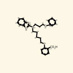 O=C(O)c1ccccc1SCCCCCN(CCCOc1ccccc1)c1nc2ccccc2o1